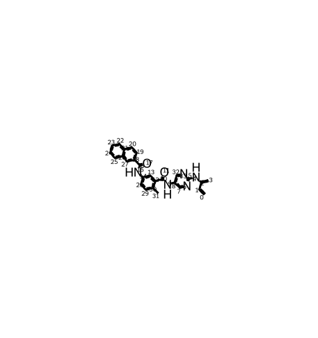 C=CC(=C)Nc1ncc(NC(=O)c2cc(NC(=O)c3ccc4ccccc4c3)ccc2C)cn1